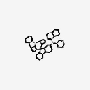 c1ccc(N(c2ccc3c(c2)C2(c4ccccc4-3)c3ccccc3-n3c4ccccc4c4cccc2c43)c2cccc3ccccc23)cc1